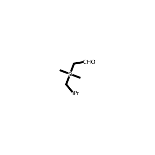 CC(C)C[Si](C)(C)CC=O